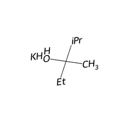 CCC(C)(O)C(C)C.[KH]